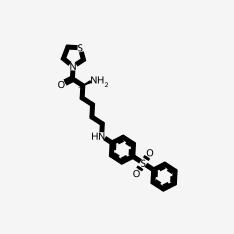 N[C@@H](CCCCNc1ccc(S(=O)(=O)c2ccccc2)cc1)C(=O)N1CCSC1